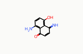 N=C1C=CC(=O)c2c(N)ccc(O)c21